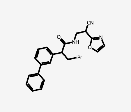 CC(C)CC(C(=O)NCC(C#N)c1ncco1)c1cccc(-c2ccccc2)c1